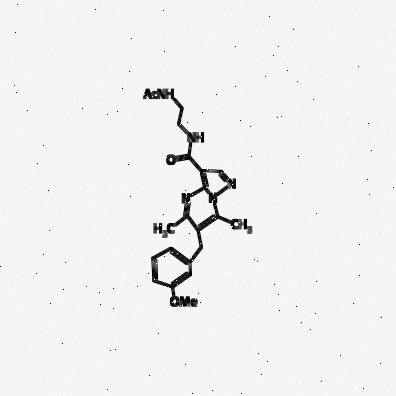 COc1cccc(Cc2c(C)nc3c(C(=O)NCCNC(C)=O)cnn3c2C)c1